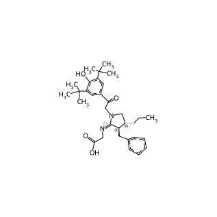 CCC[C@H]1CN(CC(=O)c2cc(C(C)(C)C)c(O)c(C(C)(C)C)c2)/C(=N/CC(=O)O)[C@@H]1Cc1ccccc1